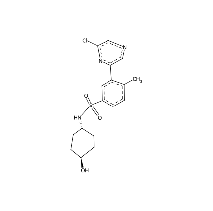 Cc1ccc(S(=O)(=O)N[C@H]2CC[C@H](O)CC2)cc1-c1cncc(Cl)n1